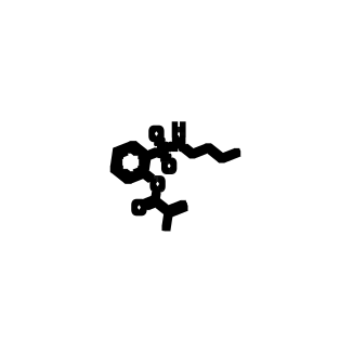 C=C(C)C(=O)Oc1ccccc1S(=O)(=O)NCCCC